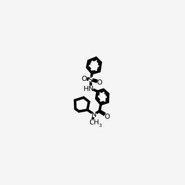 CN(C(=O)c1cccc(NS(=O)(=O)c2ccccc2)c1)C1CCCCC1